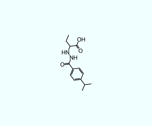 CCC(NNC(=O)c1ccc(C(C)C)cc1)C(=O)O